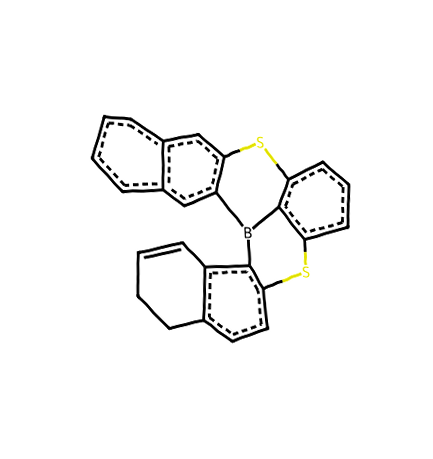 C1=Cc2c(ccc3c2B2c4cc5ccccc5cc4Sc4cccc(c42)S3)CC1